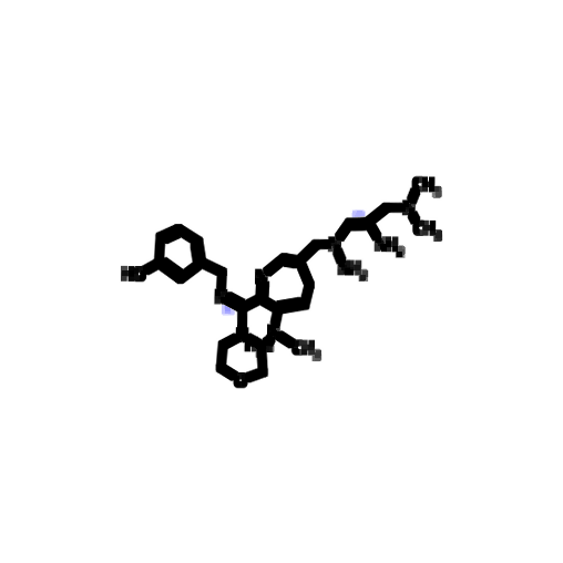 CN(C)C/C(N)=C/N(N)CC1=CN=C(/C(=N\Cc2cccc(O)c2)N2CCOCC2)C(N(C)C)=CC1